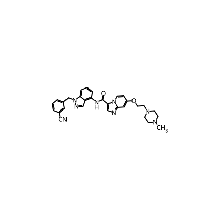 CN1CCN(CCOc2ccn3c(C(=O)Nc4cccc5c4cnn5Cc4cccc(C#N)c4)cnc3c2)CC1